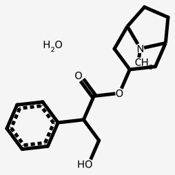 CN1C2CCC1CC(OC(=O)C(CO)c1ccccc1)C2.O